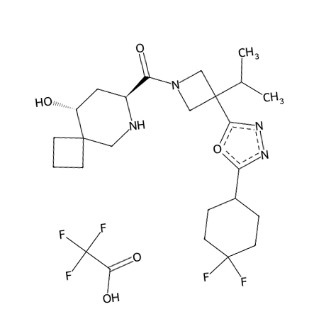 CC(C)C1(c2nnc(C3CCC(F)(F)CC3)o2)CN(C(=O)[C@@H]2C[C@@H](O)C3(CCC3)CN2)C1.O=C(O)C(F)(F)F